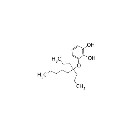 CCCCCC(CCC)(CCC)Oc1cccc(O)c1O